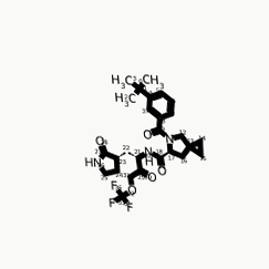 CC(C)(C)c1cccc(C(=O)N2CC3(CC3)C[C@H]2C(=O)N[C@@H](C[C@@H]2CCNC2=O)C(=O)COC(F)(F)F)c1